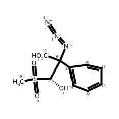 CS(=O)(=O)[C@@H](O)C(N=[N+]=[N-])(C(=O)O)c1ccccc1